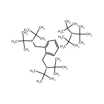 CC(C)(C)P(C(C)(C)C)C(C)(C)C.CC(C)(C)P(Cc1ccccc1CP(C(C)(C)C)C(C)(C)C)C(C)(C)C